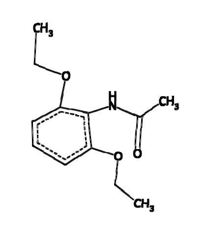 CCOc1cccc(OCC)c1NC(C)=O